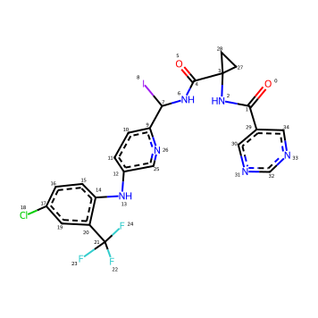 O=C(NC1(C(=O)NC(I)c2ccc(Nc3ccc(Cl)cc3C(F)(F)F)cn2)CC1)c1cncnc1